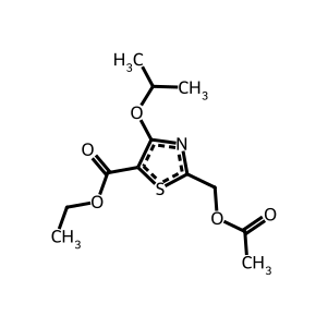 CCOC(=O)c1sc(COC(C)=O)nc1OC(C)C